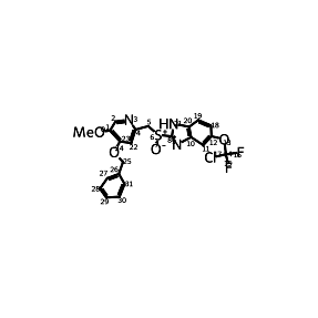 COc1cnc(C[S+]([O-])c2nc3cc(OC(F)(F)Cl)ccc3[nH]2)cc1OCc1ccccc1